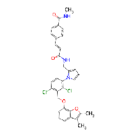 CNC(=O)c1ccc(C=CC(=O)NCc2cccn2-c2ccc(Cl)c(COc3cccc4c(C)c(C)oc34)c2Cl)cc1